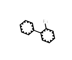 C[CH]c1ccccc1-c1ccccc1